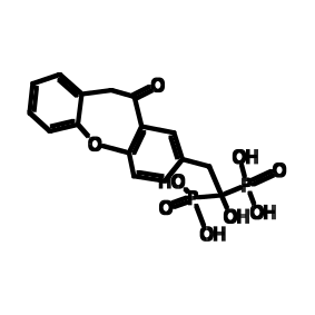 O=C1Cc2ccccc2Oc2ccc(CC(O)(P(=O)(O)O)P(=O)(O)O)cc21